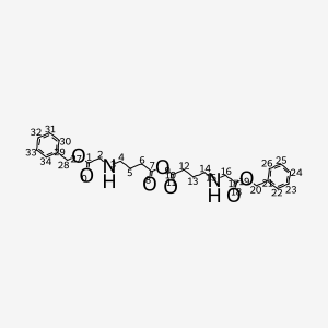 O=C(CNCCCC(=O)OC(=O)CCCNCC(=O)OCc1ccccc1)OCc1ccccc1